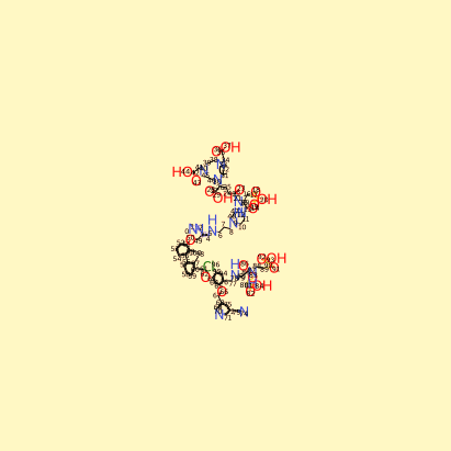 C/N=N\C(=C/NCCCN1CCN(C(=O)[C@H](CS(=O)(=O)O)NC(=O)CCC(C(=O)O)N2CCN(CC(=O)O)CCN(CC(=O)O)CC2)CC1)COc1cccc(-c2cccc(COc3cc(OCc4cncc(C#N)c4)c(CN[C@@H](CS(=O)(=O)O)C(=O)NCCS(=O)(=O)O)cc3Cl)c2C)c1C